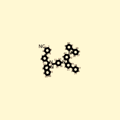 N#Cc1cccc(-c2cccc(-c3nc(-c4ccc(-n5c6ccc(-c7ccccc7)cc6c6cc(-n7c8ccccc8c8ccccc87)ccc65)cc4)nc4c3ccc3ccccc34)c2)c1